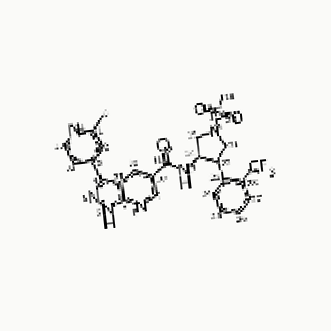 Cc1cc(-c2n[nH]c3ncc(C(=O)NC4CN(S(C)(=O)=O)CC4c4ccccc4C(F)(F)F)cc23)ccn1